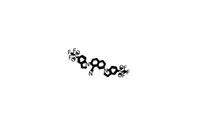 N#CC1=C2C=C(N3CCc4cc(S(=O)(=O)C(F)(F)F)ccc43)CCC2CC/C1=[N+]1/CCc2cc(S(=O)(=O)C(F)(F)F)ccc21